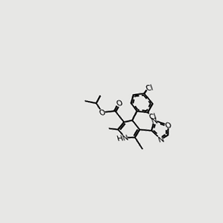 CC1=C(C(=O)OC(C)C)C(c2ccc(Cl)cc2Cl)C(c2ncon2)=C(C)N1